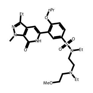 CCCOc1ccc(S(=O)(=O)N(CC)CCN(CC)CCOC)cc1-c1cc2c(CC)nn(C)c2c(=O)[nH]1